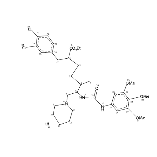 CCOC(=O)C(CCC(C)C(CN1CCCCC1)NC(=O)Nc1cc(OC)c(OC)c(OC)c1)Cc1ccc(Cl)c(Cl)c1.I